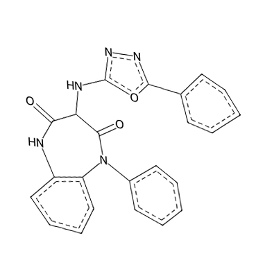 O=C1Nc2ccccc2N(c2ccccc2)C(=O)C1Nc1nnc(-c2ccccc2)o1